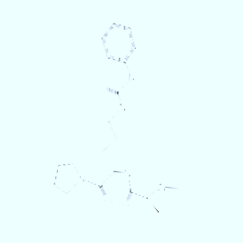 CN[C@@H](C)C(=O)N[C@@H](CCCNC(=O)Nc1ccccc1)C(=O)N1CCC[C@H]1C